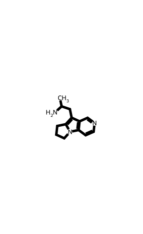 CC(N)Cc1c2n(c3ccncc13)CCC2